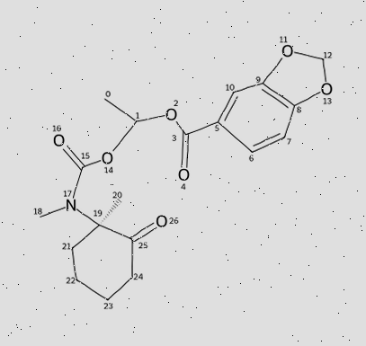 CC(OC(=O)c1ccc2c(c1)OCO2)OC(=O)N(C)[C@]1(C)CCCCC1=O